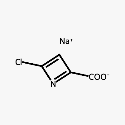 O=C([O-])C1=NC(Cl)=C1.[Na+]